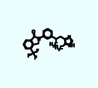 Cc1[nH]cnc1CC(C)c1cccc(N2Cc3c(cccc3C(F)(F)F)C2=O)c1